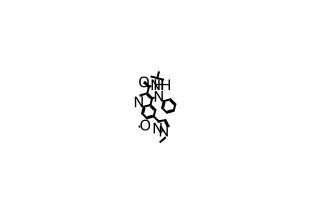 CCn1ccc(-c2cc3c(Nc4ccccc4)c(C(=O)NC(C)(C)C)cnc3cc2OC)n1